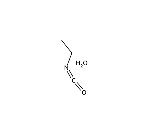 CCN=C=O.O